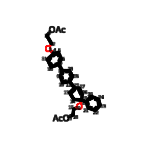 CC(=O)OCCOc1ccc(-c2ccc(C3=CCC(OCCOC(C)=O)(c4ccccc4)C=C3)cc2)cc1